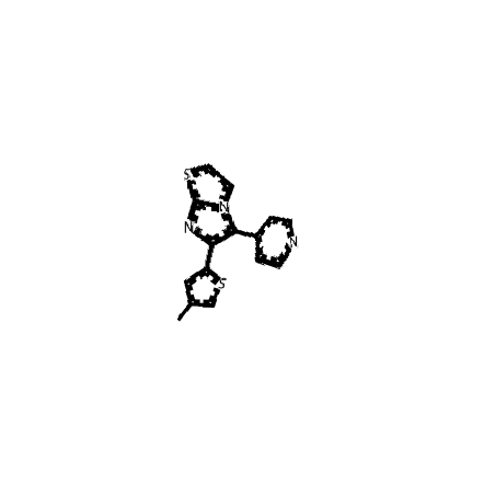 Cc1csc(-c2nc3sccn3c2-c2ccncc2)c1